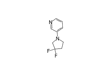 FC1(F)CCN(c2cccnc2)C1